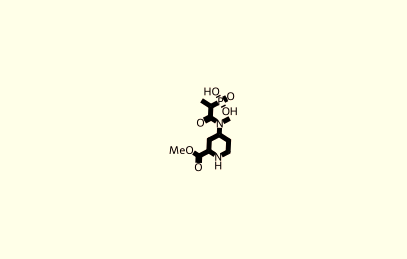 COC(=O)C1CC(N(C)C(=O)C(C)P(=O)(O)O)CCN1